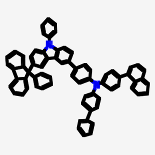 c1ccc(-c2ccc(N(c3ccc(-c4ccc5c(c4)c4cc(C6(c7ccccc7)c7ccccc7-c7ccccc76)ccc4n5-c4ccccc4)cc3)c3ccc(-c4cccc5ccccc45)cc3)cc2)cc1